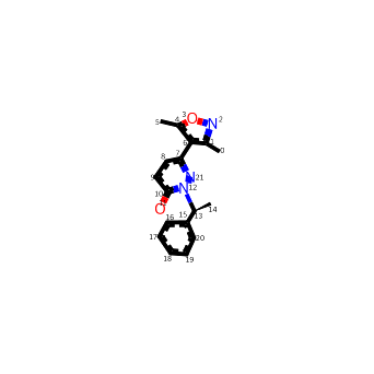 Cc1noc(C)c1-c1ccc(=O)n([C@@H](C)c2ccccc2)n1